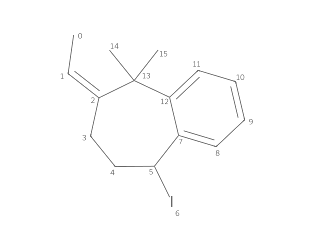 C/C=C1/CCC(I)c2ccccc2C1(C)C